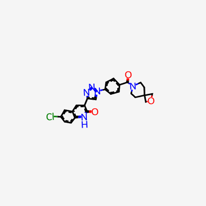 O=C(c1ccc(-n2cc(-c3cc4cc(Cl)ccc4[nH]c3=O)nn2)cc1)N1CCC2(CC1)COC2